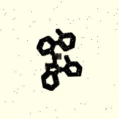 Cc1ccccc1-c1ccccc1Nc1nc2ccccc2n1-c1ccccc1C